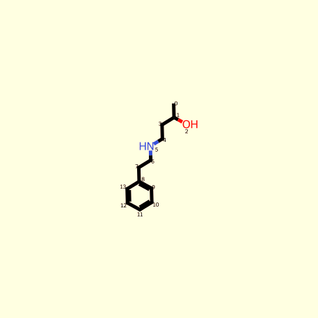 CC(O)CCNCCc1ccccc1